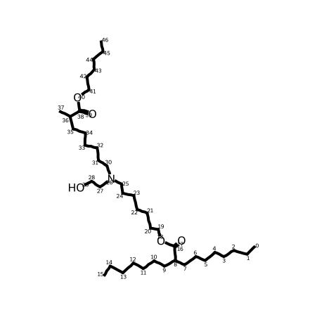 CCCCCCCCC(CCCCCCC)C(=O)OCCCCCCCN(CCO)CCCCCCC(C)C(=O)OCCCCCC